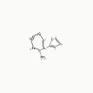 Nc1ncncn1.c1ccsc1